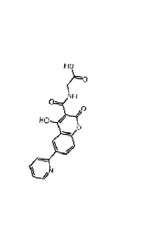 O=C(O)CNC(=O)c1c(O)c2cc(-c3ccccn3)ccc2oc1=O